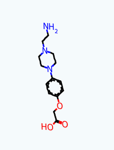 NCCN1CCN(c2ccc(OCC(=O)O)cc2)CC1